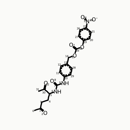 CC(=O)CCC(NC(=O)Nc1ccc(COC(=O)Oc2ccc([N+](=O)[O-])cc2)cc1)C(C)=O